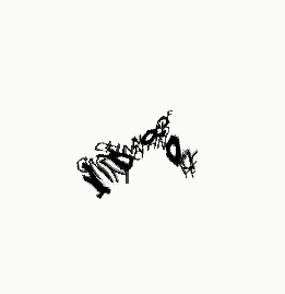 Cn1c(Nc2c(Cl)ccc(CNC(=O)C(C)(C)C)c2Cl)nc2cc(C(=O)Nc3ccc(OC(F)(F)F)cc3)c(N3CCC(F)CC3)cc21